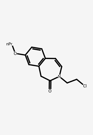 CCCOc1ccc2c(c1)CC(=O)N(CCCl)C=C2